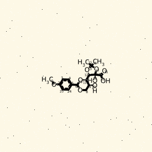 COc1ccc(C2OC[C@H](O)[C@H]([C@@H]3OC(C)(C)O[C@]3(O)C(=O)O)O2)cc1